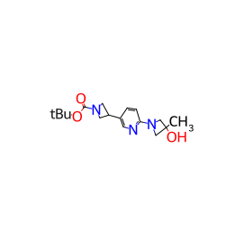 CC1(O)CN(c2ccc(C3CN(C(=O)OC(C)(C)C)C3)cn2)C1